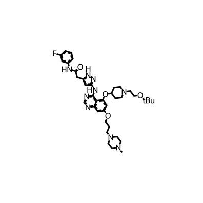 CN1CCN(CCCOc2cc(OC3CCN(CCOC(C)(C)C)CC3)c3c(Nc4cc(CC(=O)Nc5cccc(F)c5)[nH]n4)ncnc3c2)CC1